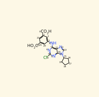 O=C(O)c1cc(Nc2nc(Cl)nc3c2ncn3C2CCCC2)cc(C(=O)O)c1